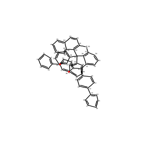 c1ccc(-c2ccc(N(c3ccc(-c4ccccc4)cc3)c3cccc4c3C(c3ccccc3)(c3ccccc3)c3c(ccc5ccccc35)S4)cc2)cc1